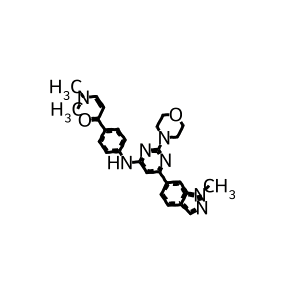 CN(C)/C=C\C(=O)c1ccc(Nc2cc(-c3ccc4cnn(C)c4c3)nc(N3CCOCC3)n2)cc1